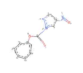 O=Nc1cnn(C(=O)Oc2ccccc2)c1